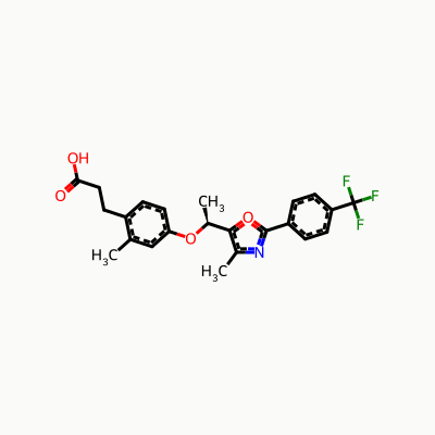 Cc1cc(O[C@@H](C)c2oc(-c3ccc(C(F)(F)F)cc3)nc2C)ccc1CCC(=O)O